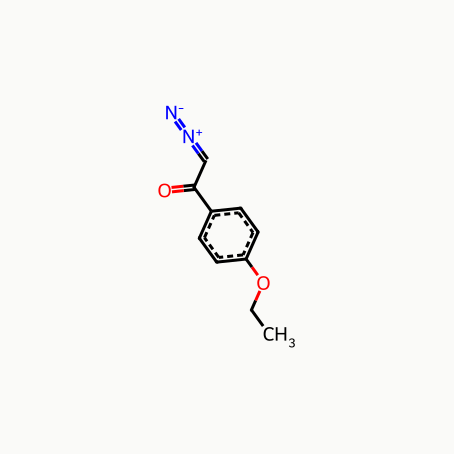 CCOc1ccc(C(=O)C=[N+]=[N-])cc1